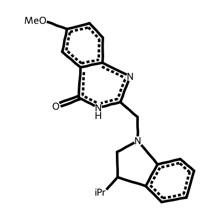 COc1ccc2nc(CN3CC(C(C)C)c4ccccc43)[nH]c(=O)c2c1